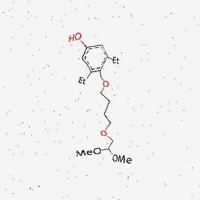 CCc1cc(O)cc(CC)c1OCCCCOCC(OC)OC